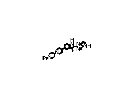 Cc1c(-c2ncc3[nH]ccc3n2)[nH]c2ccc(C3CCN(C4CCN(C(C)C)CC4)CC3)cc12